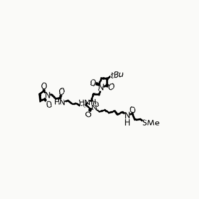 CSCCC(=O)NCCCCCCNC(=O)[C@H](CCCCNC(=O)CCN1C(=O)C=CC1=O)NC(=O)CCN1C(=O)CC(C(C)(C)C)C1=O